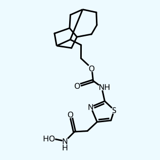 O=C(Cc1csc(NC(=O)OCCC2C3CCCC4CC2CC4C3)n1)NO